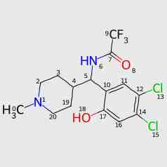 CN1CCC(C(NC(=O)C(F)(F)F)c2cc(Cl)c(Cl)cc2O)CC1